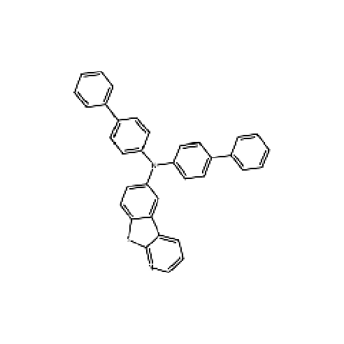 c1ccc(-c2ccc(N(c3ccc(-c4ccccc4)cc3)c3ccc4sc5ncccc5c4c3)cc2)cc1